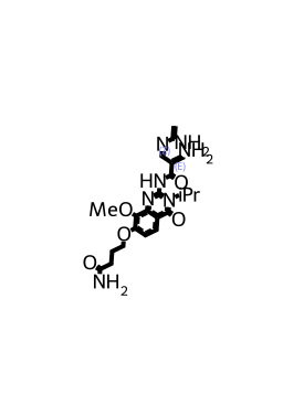 C=C(N)/N=C\C(=C/N)C(=O)Nc1nc2c(OC)c(OCCCC(N)=O)ccc2c(=O)n1C(C)C